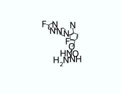 N#Cc1ccc(COC(=O)NC(=N)N)c(F)c1N1CCN(c2ncc(F)cn2)CC1